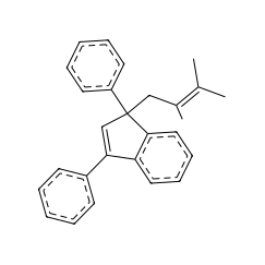 CC(C)=C(C)CC1(c2ccccc2)C=C(c2ccccc2)c2ccccc21